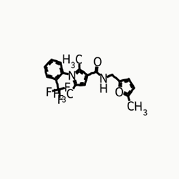 Cc1ccc(CNC(=O)c2cc(C)n(-c3ccccc3C(F)(F)F)c2C)o1